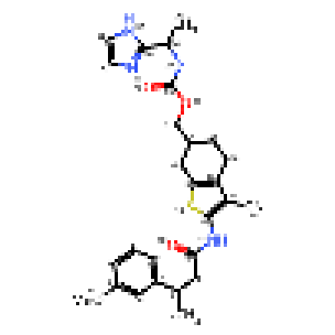 COc1cccc(C(C)CC(=O)Nc2sc3c(c2C#N)CCC(COC(=O)NC(C)c2ncc[nH]2)C3)c1